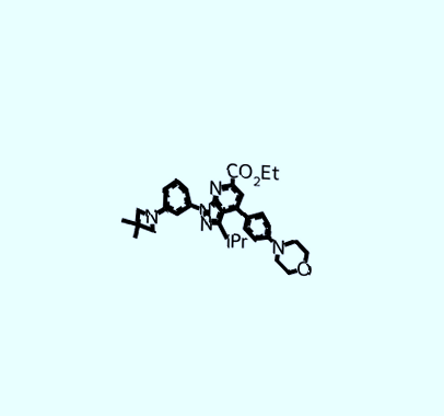 CCOC(=O)c1cc(-c2ccc(N3CCOCC3)cc2)c2c(C(C)C)nn(-c3cccc(N4CC(C)(C)C4)c3)c2n1